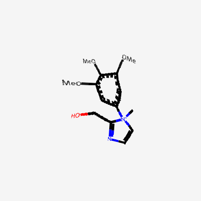 COc1cc([N+]2(C)C=CN=C2CO)cc(OC)c1OC